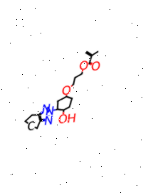 C=C(C)C(=O)OCCCOC1CCC(O)C(n2nc3c(n2)CCCC3)C1